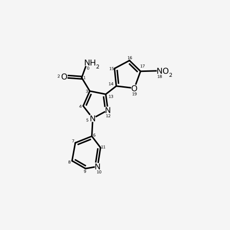 NC(=O)c1cn(-c2cccnc2)nc1-c1ccc([N+](=O)[O-])o1